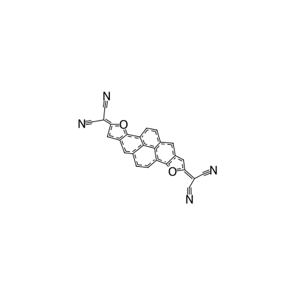 N#CC(C#N)=c1cc2cc3ccc4c5oc(=C(C#N)C#N)cc5cc5ccc(c2o1)c3c54